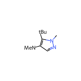 CNc1cnn(C)c1C(C)(C)C